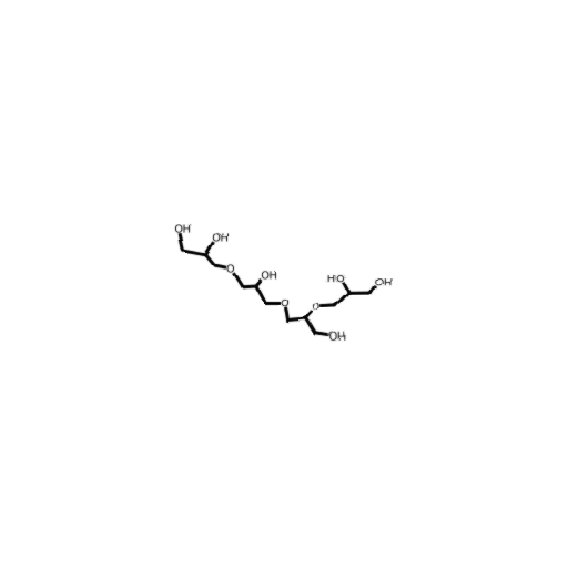 OCC(O)COCC(O)COCC(CO)OCC(O)CO